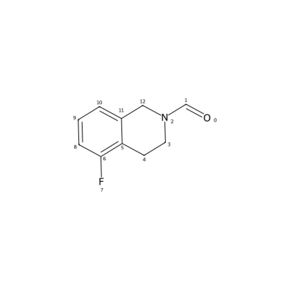 O=CN1CCc2c(F)cccc2C1